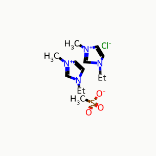 CCn1cc[n+](C)c1.CCn1cc[n+](C)c1.CS(=O)(=O)[O-].[Cl-]